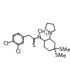 CSC1(SC)CCC(N(C)C(=S)Cc2ccc(Cl)c(Cl)c2)C(N2CCCC2)C1